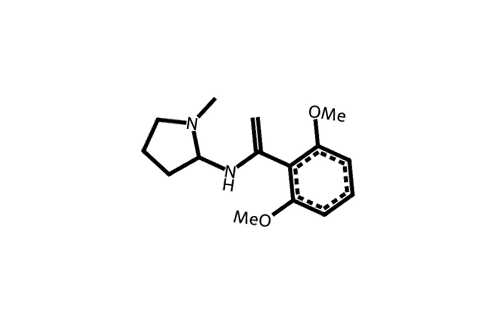 C=C(NC1CCCN1C)c1c(OC)cccc1OC